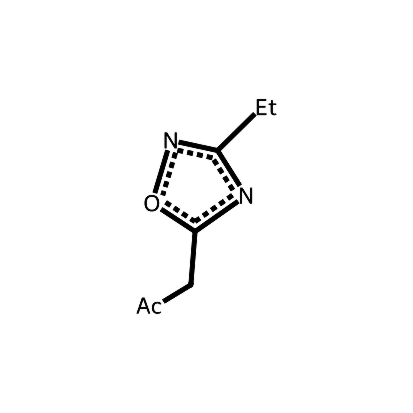 CCc1noc(CC(C)=O)n1